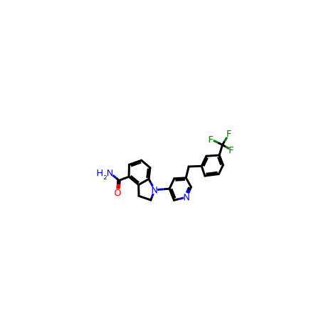 NC(=O)c1cccc2c1CCN2c1cncc(Cc2cccc(C(F)(F)F)c2)c1